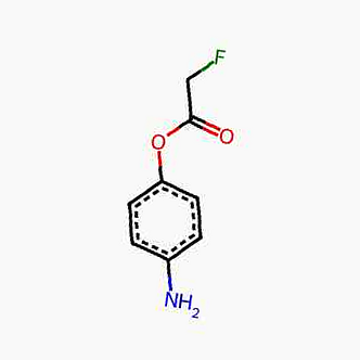 Nc1ccc(OC(=O)CF)cc1